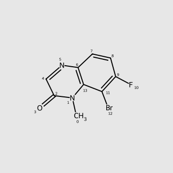 Cn1c(=O)cnc2ccc(F)c(Br)c21